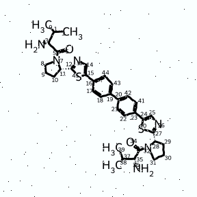 CC(C)[C@@H](N)C(=O)N1CCC[C@H]1c1ncc(-c2ccc(-c3ccc(-c4cnc([C@@H]5CCCN5C(=O)[C@H](N)C(C)C)s4)cc3)cc2)s1